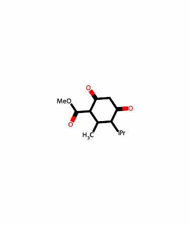 COC(=O)C1C(=O)CC(=O)C(C(C)C)C1C